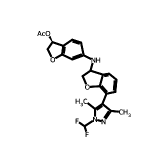 CC(=O)O[C@@H]1COc2cc(NC3COc4c(-c5c(C)nn(C(F)F)c5C)cccc43)ccc21